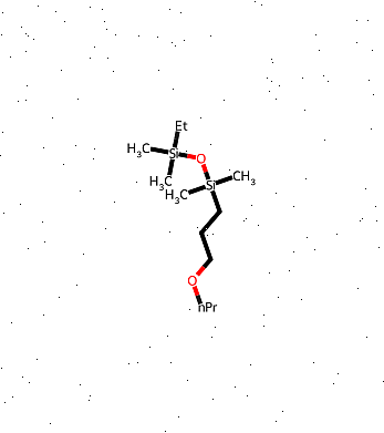 CCCOCCC[Si](C)(C)O[Si](C)(C)CC